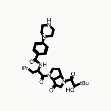 CC(C)CC(NC(=O)c1ccc(N2CCNCC2)cc1)C(=O)N1CCC2C1C(=O)CN2C(=O)C(O)C(C)(C)C